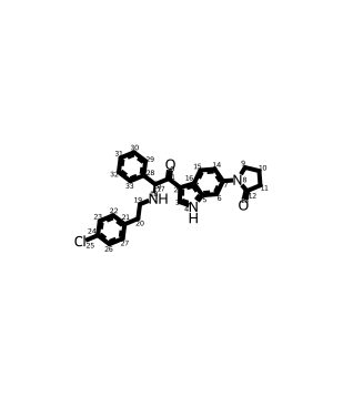 O=C(c1c[nH]c2cc(N3CCCC3=O)ccc12)[C@@H](NCCc1ccc(Cl)cc1)c1ccccc1